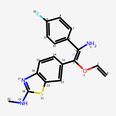 C=CO/C(=C(\N)c1ccc(F)cc1)c1ccc2nc(NC)sc2c1